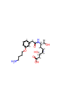 NCCCCOc1cccc(CC(=O)N[C@H](BO)C/C=C\[C@@H](O)CC(=O)O)c1